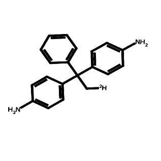 [2H]CC(c1ccccc1)(c1ccc(N)cc1)c1ccc(N)cc1